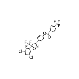 O=C(Oc1ccc(C2=NOC(c3cc(Cl)cc(Cl)c3)(C(F)(F)F)C2)cc1)c1ccc(C(F)(F)F)cc1